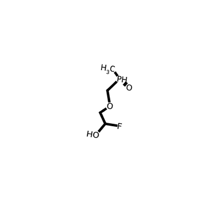 C[PH](=O)COCC(O)F